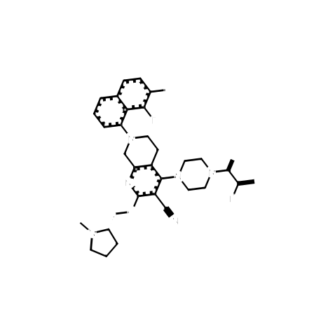 C=C(F)C(=O)N1CCN(c2c(C#N)c(OC[C@@H]3CCCN3C)nc3c2CCN(c2cccc4ccc(F)c(F)c24)C3)CC1